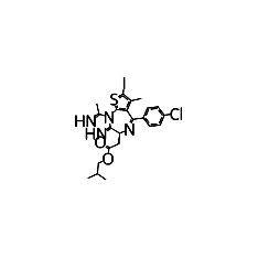 CC(=N)N1C(=N)[C@H](CC(=O)OCC(C)C)N=C(c2ccc(Cl)cc2)c2c1sc(I)c2C